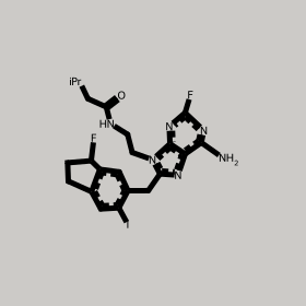 CC(C)CC(=O)NCCn1c(Cc2cc3c(cc2I)CCC3F)nc2c(N)nc(F)nc21